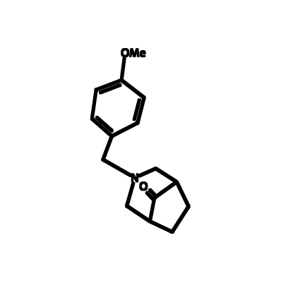 COc1ccc(CN2CC3CCC(C2)C3=O)cc1